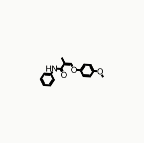 COc1ccc(OC=C(C)C(=O)Nc2ccccc2)cc1